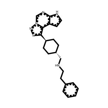 c1ccc(CCNC[C@H]2CC[C@H](c3nnn4cnc5[nH]ccc5c34)CC2)cc1